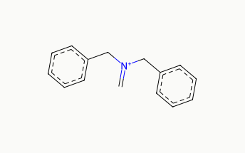 C=[N+](Cc1ccccc1)Cc1ccccc1